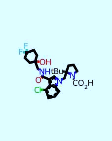 CC(C)(C)C1(Cn2cc(C(=O)NCC3(O)CCC(F)(F)CC3)c3c(Cl)cccc32)CCCN1C(=O)O